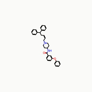 O=C(NC1CCN(C/C=C\CC(c2ccccc2)c2ccccc2)CC1)c1cccc(Oc2ccccc2)c1